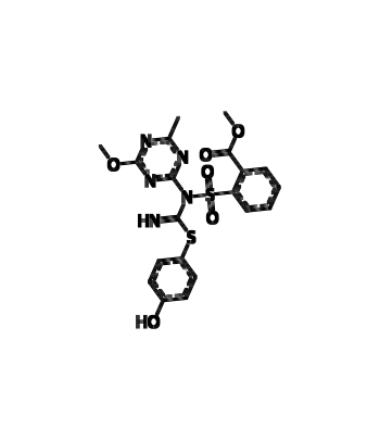 COC(=O)c1ccccc1S(=O)(=O)N(C(=N)Sc1ccc(O)cc1)c1nc(C)nc(OC)n1